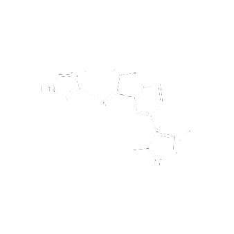 Cc1noc(C)c1-c1ccc2c(c1)/C(=C/c1c[nH]cn1)CC2